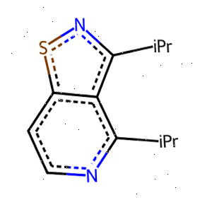 CC(C)c1nccc2snc(C(C)C)c12